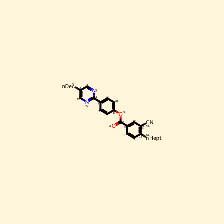 CCCCCCCCCCc1cnc(-c2ccc(OC(=O)c3ccc(CCCCCCC)c(C#N)c3)cc2)nc1